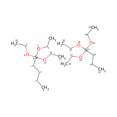 CCCC[Si](OCC)(OCC)OCC.CCC[Si](OCC)(OCC)OCC